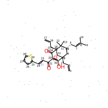 C=CC[C@@]12C[C@@H](CC=C(C)C)C(C)(C)[C@@](CC=C)(C(=O)C(C(=O)/C=C/c3cccs3)=C1O)C2=O